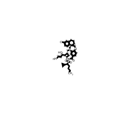 C=CCCC(C1CC1)S(=O)(=O)NC(=O)c1ccc2c(c1)N(C[C@@H]1CC[C@H]1[C@@H](O)/C=C/CCC)C[C@@]1(CCCc3cc(Cl)ccc31)CO2